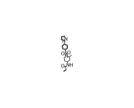 C=CC(=O)NC1CCN(S(=O)(=O)c2ccc(-n3cccn3)cc2)C(C)C1